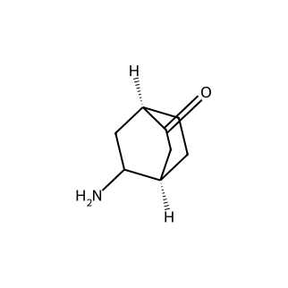 NC1C[C@H]2CC[C@@H]1CC2=O